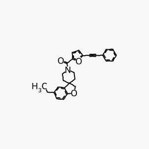 CCc1ccc2c(c1)C1(CCN(C(=O)c3ccc(C#Cc4ccccc4)o3)CC1)CO2